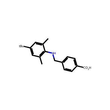 Cc1cc(C(C)(C)C)cc(C)c1NCc1ccc(C(=O)O)cc1